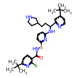 CC(C)(C)c1ccnc(C(CCC2CCNC2)Nc2cccc(SNC(=O)c3ccc(C(C)(C)C)nc3F)n2)c1